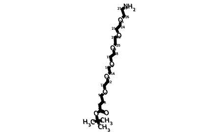 CC(C)(C)OC(=O)CCCOCCOCCOCCOCCOCCOCCN